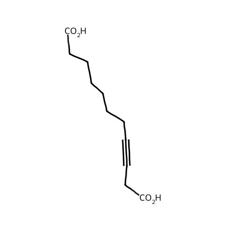 O=C(O)CC#CCCCCCCC(=O)O